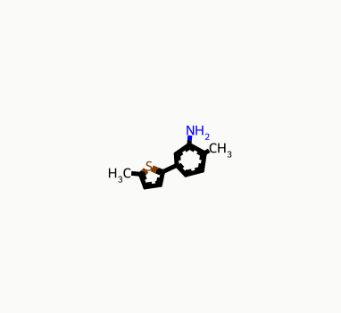 Cc1ccc(-c2ccc(C)c(N)c2)s1